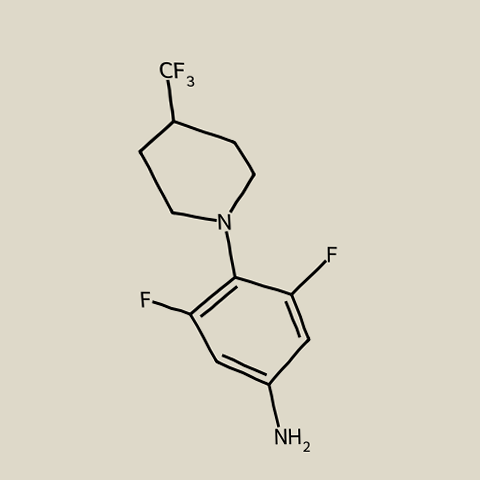 Nc1cc(F)c(N2CCC(C(F)(F)F)CC2)c(F)c1